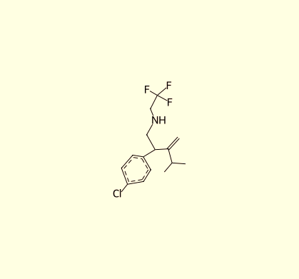 C=C(C(C)C)C(CNCC(F)(F)F)c1ccc(Cl)cc1